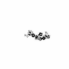 CC(Cn1cncn1)Oc1cc(-c2cnc(Nc3cn(C4CCC(N5C[C@@H](C)O[C@@H](C)C5)CC4)nc3OCC3CCOCC3)nc2)ccc1C#N